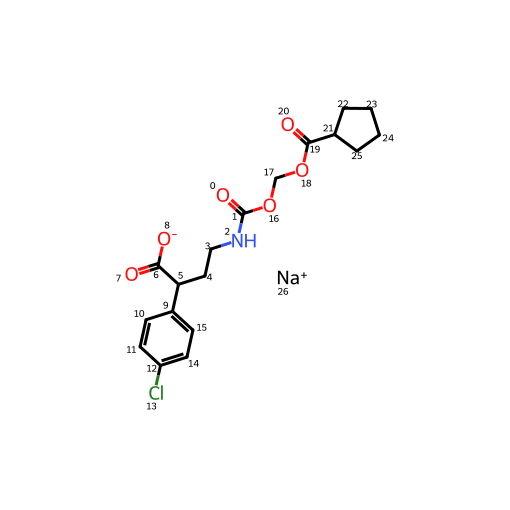 O=C(NCCC(C(=O)[O-])c1ccc(Cl)cc1)OCOC(=O)C1CCCC1.[Na+]